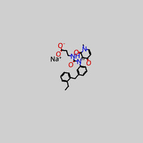 CCc1ccccc1Cc1cccc(N(C(=O)NCCC(=O)[O-])[C@H]2C(=O)C=CN(C)C2=O)c1.[Na+]